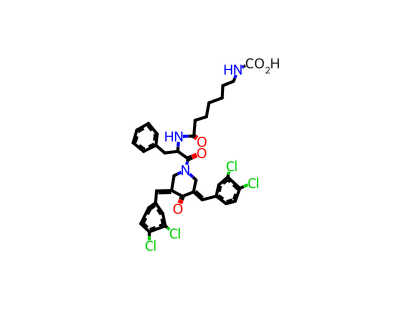 O=C(O)NCCCCCCC(=O)NC(Cc1ccccc1)C(=O)N1CC(=Cc2ccc(Cl)c(Cl)c2)C(=O)C(=Cc2ccc(Cl)c(Cl)c2)C1